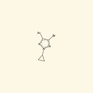 CC(=O)c1nn(C2CC2)nc1Br